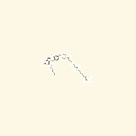 CCCCCNc1nc(N)nc2ccn(Cc3ccc(CN4CCN(C(=O)CCOCCC(=O)NCCCCC(N)C(=O)O)CC4)cc3OC)c12